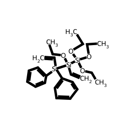 C=C[Si](c1ccccc1)(c1ccccc1)[Si](C=C)(OCC)[Si](OCC)(OCC)OCC